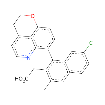 Cc1cc2ccc(Cl)cc2c(-c2ccc3c4c(ccnc24)CCO3)c1CC(=O)O